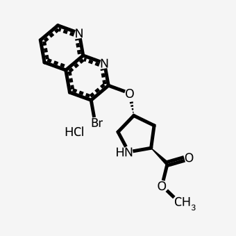 COC(=O)[C@@H]1C[C@@H](Oc2nc3ncccc3cc2Br)CN1.Cl